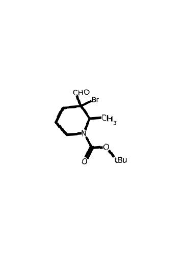 CC1N(C(=O)OC(C)(C)C)CCCC1(Br)C=O